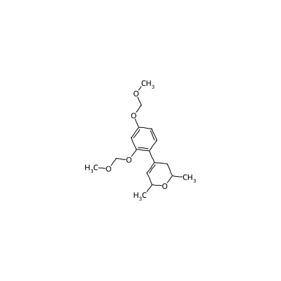 COCOc1ccc(C2=CC(C)OC(C)C2)c(OCOC)c1